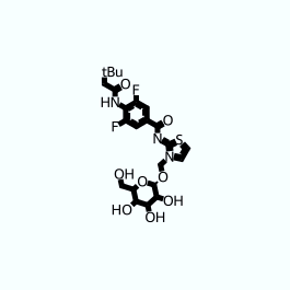 CC(C)(C)CC(=O)Nc1c(F)cc(C(=O)N=c2sccn2CO[C@H]2OC(CO)C(O)C(O)C2O)cc1F